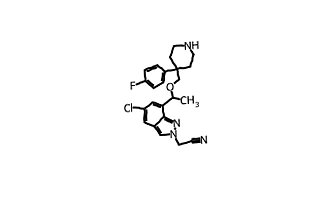 CC(OCC1(c2ccc(F)cc2)CCNCC1)c1cc(Cl)cc2cn(CC#N)nc12